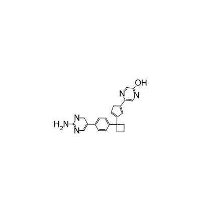 Nc1ncc(-c2ccc(C3(C4=CCC(c5cnc(O)cn5)=C4)CCC3)cc2)cn1